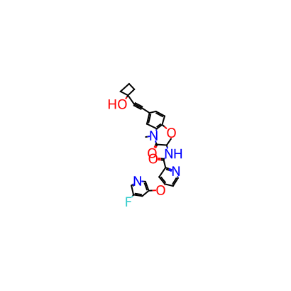 CN1C(=O)C(NC(=O)c2cc(Oc3cncc(F)c3)ccn2)COc2ccc(C#CC3(O)CCC3)cc21